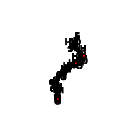 COc1ccc(C2=CN3C(=O)c4cc(OC)c(OCCCOc5cc6c(cc5OC)CN5C=C(c7ccc(NC(=O)[C@H](C)NC(=O)[C@@H](NC(=O)CCCNc8nc(NC(=O)CCSC)cc(SC)n8)C(C)C)cc7)C[C@H]5C=N6)cc4N=C[C@@H]3C2)cc1